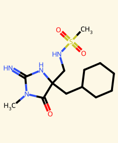 CN1C(=N)NC(CNS(C)(=O)=O)(CC2CCCCC2)C1=O